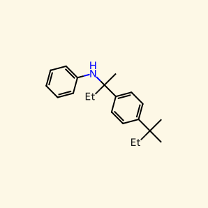 CCC(C)(C)c1ccc(C(C)(CC)Nc2ccccc2)cc1